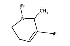 CC(C)C1=CCCN(C(C)C)C1C